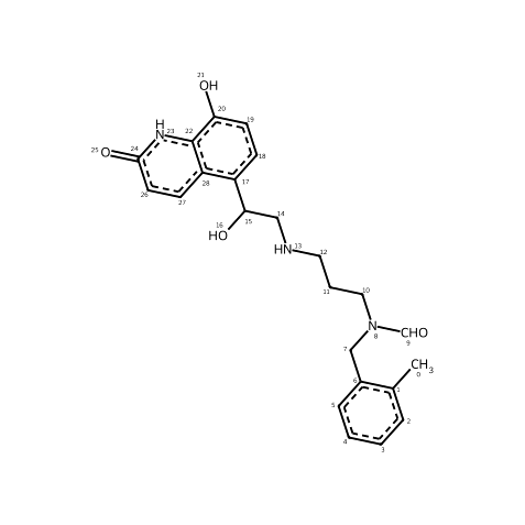 Cc1ccccc1CN(C=O)CCCNCC(O)c1ccc(O)c2[nH]c(=O)ccc12